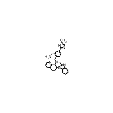 Cn1cnc(-c2ccc(CN(Cc3nc4ccccc4[nH]3)C3CCCc4cccnc43)c(CN)c2)n1